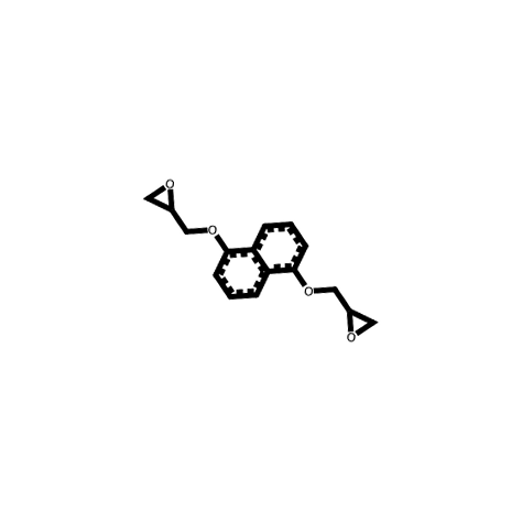 c1cc(OCC2CO2)c2cccc(OCC3CO3)c2c1